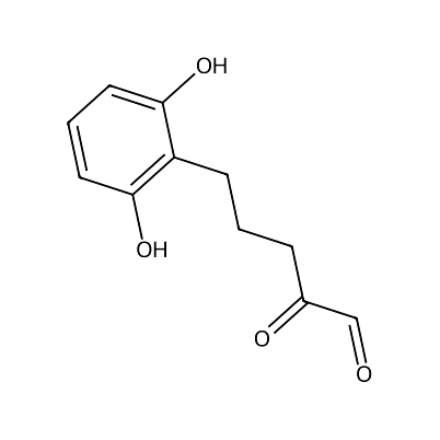 O=CC(=O)CCCc1c(O)cccc1O